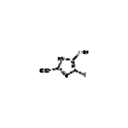 O=Cc1nc(I)c(C=O)[nH]1